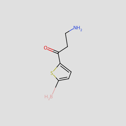 Bc1ccc(C(=O)CCN)s1